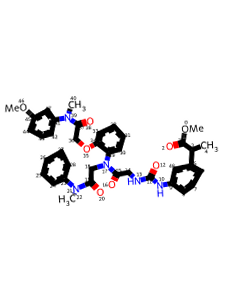 COC(=O)C(C)c1cccc(NC(=O)NCC(=O)N(CC(=O)N(C)c2ccccc2)c2ccccc2OCC(=O)N(C)c2cccc(OC)c2)c1